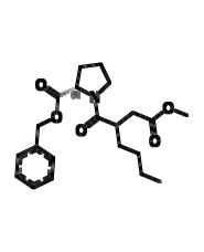 CCCCC(CC(=O)OC)C(=O)N1CCC[C@H]1C(=O)OCc1ccccc1